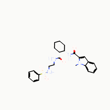 Cn1c(C(=O)N[C@H]2CCCC[C@H]2C(=O)NCCNS(=O)(=O)c2ccccc2)cc2ccccc21